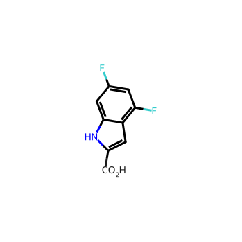 O=C(O)c1cc2c(F)cc(F)cc2[nH]1